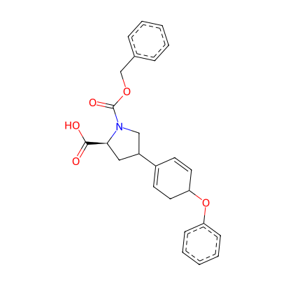 O=C(O)[C@@H]1CC(C2=CCC(Oc3ccccc3)C=C2)CN1C(=O)OCc1ccccc1